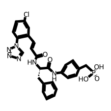 O=C(C=Cc1cc(Cl)ccc1-n1cnnn1)N[C@@H](Cc1ccccc1)C(=O)Nc1ccc(CP(=O)(O)O)cc1